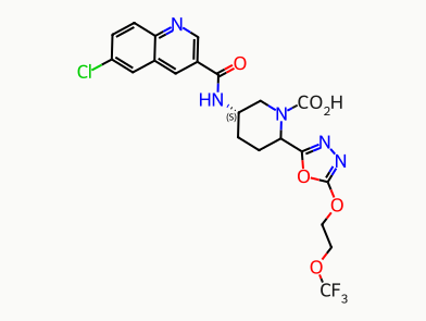 O=C(N[C@H]1CCC(c2nnc(OCCOC(F)(F)F)o2)N(C(=O)O)C1)c1cnc2ccc(Cl)cc2c1